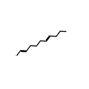 [CH2]C=CCCCC=CCCC